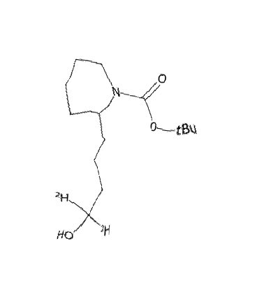 [2H]C([2H])(O)CCCC1CCCCN1C(=O)OC(C)(C)C